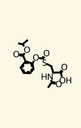 CC(=O)NC(CSC(=O)Oc1ccccc1C(=O)OC(C)C)C(=O)O